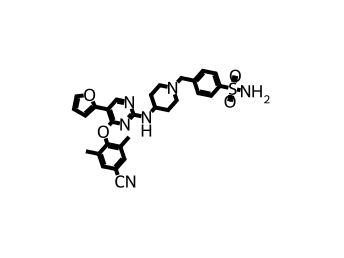 Cc1cc(C#N)cc(C)c1Oc1nc(NC2CCN(Cc3ccc(S(N)(=O)=O)cc3)CC2)ncc1-c1ccco1